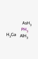 P.[AlH3].[AsH3].[GaH3]